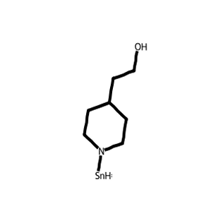 OCCC1CC[N]([SnH])CC1